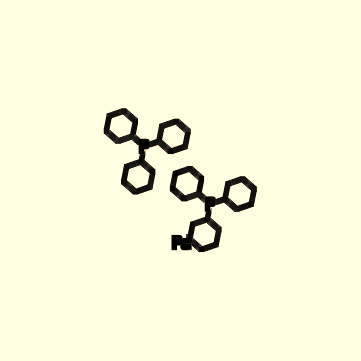 C1CCC(P(C2CCCCC2)C2CCCCC2)CC1.C1CCC(P(C2CCCCC2)C2CCCCC2)CC1.[Pd]